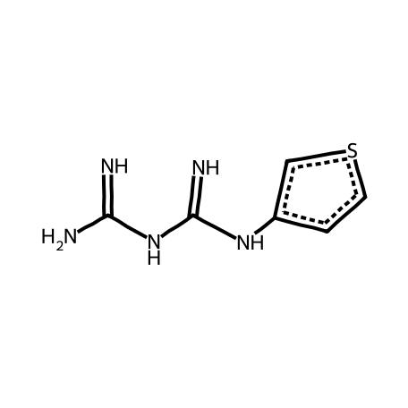 N=C(N)NC(=N)Nc1ccsc1